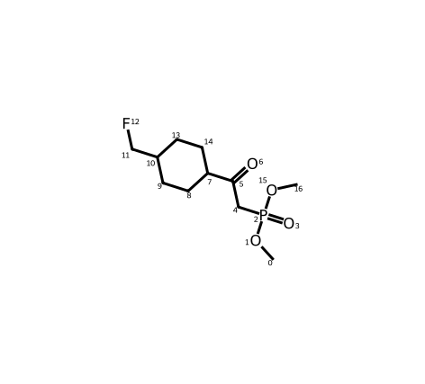 COP(=O)(CC(=O)C1CCC(CF)CC1)OC